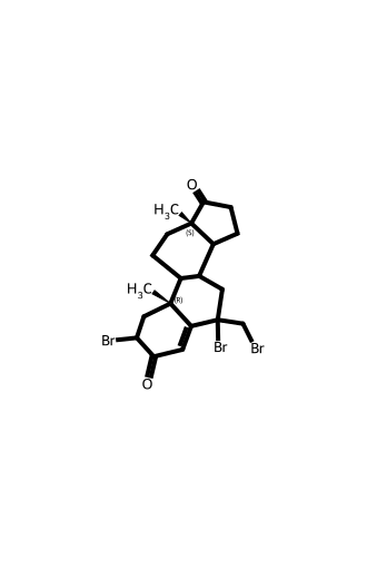 C[C@]12CC(Br)C(=O)C=C1C(Br)(CBr)CC1C2CC[C@]2(C)C(=O)CCC12